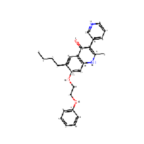 CCCCc1cc2c(=O)c(-c3cccnc3)c(C)[nH]c2cc1OCCOc1ccccc1